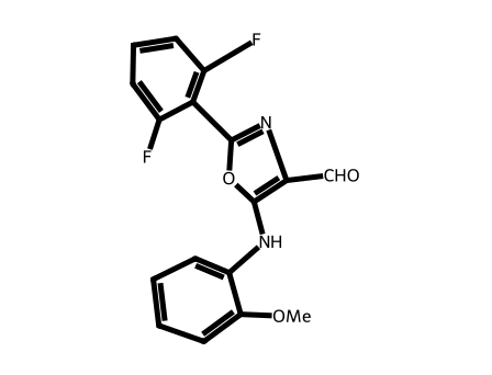 COc1ccccc1Nc1oc(-c2c(F)cccc2F)nc1C=O